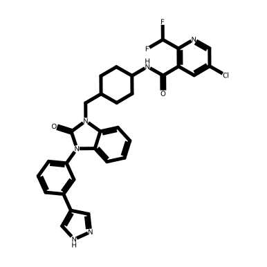 O=C(NC1CCC(Cn2c(=O)n(-c3cccc(-c4cn[nH]c4)c3)c3ccccc32)CC1)c1cc(Cl)cnc1C(F)F